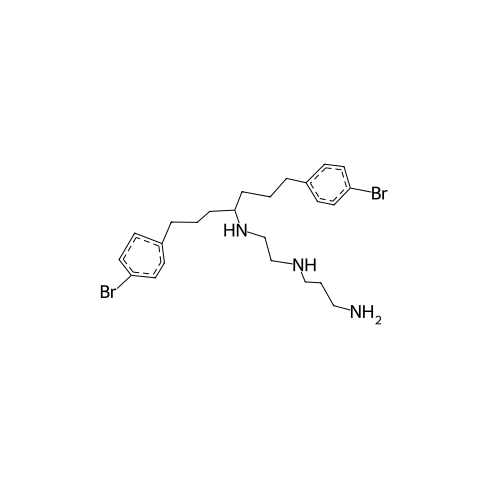 NCCCNCCNC(CCCc1ccc(Br)cc1)CCCc1ccc(Br)cc1